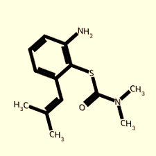 CC(C)=Cc1cccc(N)c1SC(=O)N(C)C